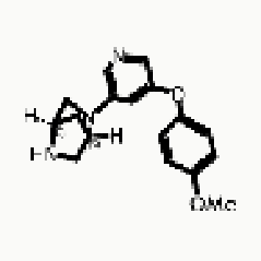 COc1ccc(Oc2cncc(N3C[C@H]4C[C@H]3CN4)c2)cc1